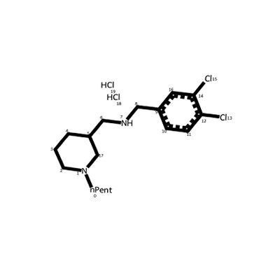 CCCCCN1CCCC(CNCc2ccc(Cl)c(Cl)c2)C1.Cl.Cl